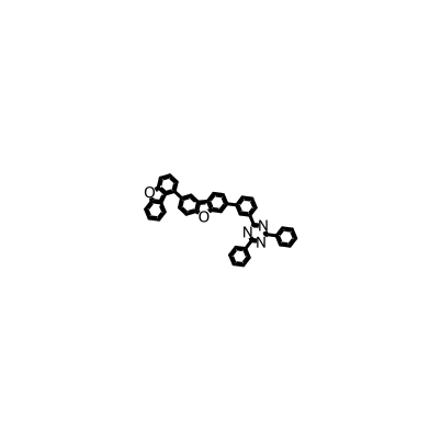 c1ccc(-c2nc(-c3ccccc3)nc(-c3cccc(-c4ccc5c(c4)oc4ccc(-c6cccc7oc8ccccc8c67)cc45)c3)n2)cc1